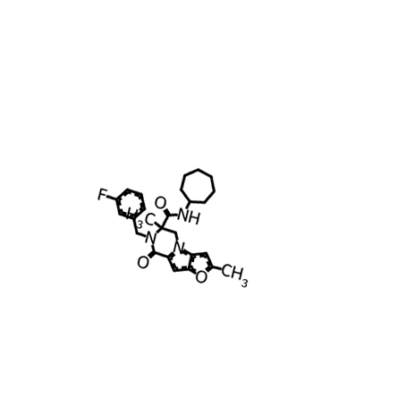 Cc1cc2c(cc3n2CC(C)(C(=O)NC2CCCCCC2)N(Cc2cccc(F)c2)C3=O)o1